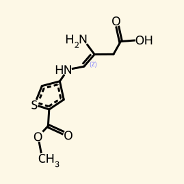 COC(=O)c1cc(N/C=C(\N)CC(=O)O)cs1